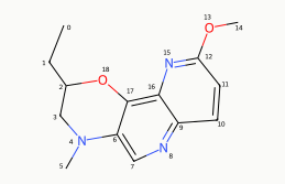 CCC1CN(C)c2cnc3ccc(OC)nc3c2O1